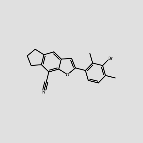 Cc1ccc(-c2cc3cc4c(c(C#N)c3o2)CCC4)c(C)c1Br